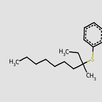 CCCCCCCC(C)(CC)Sc1ccccc1